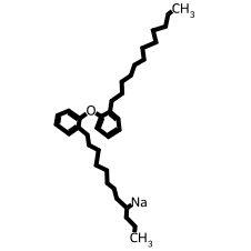 CCCCCCCCCCCCc1ccccc1Oc1ccccc1CCCCCCCC[CH]([Na])CCC